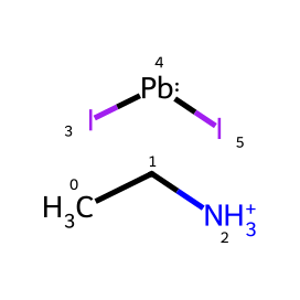 CC[NH3+].[I][Pb][I]